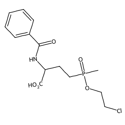 CP(=O)(CCC(NC(=O)c1ccccc1)C(=O)O)OCCCl